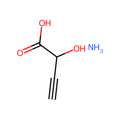 C#CC(O)C(=O)O.N